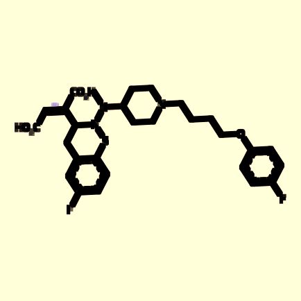 CN(C1CCN(CCCCOc2ccc(F)cc2)CC1)N1Sc2ccc(F)cc2CC1/C(=C\C(=O)O)C(=O)O